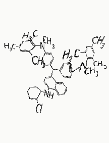 Cc1cc(C)c(N(C)c2ccc(C(c3ccc(N(C)c4c(C)cc(C)cc4C)cc3)c3ccc(NC4CCCCC4Cl)c4ccccc34)cc2)c(C)c1